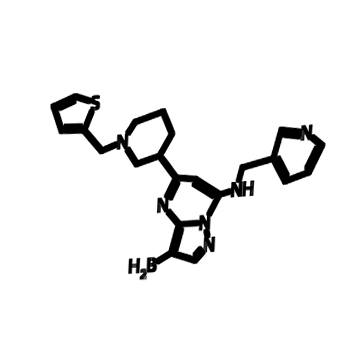 Bc1cnn2c(NCc3cccnc3)cc(C3CCCN(Cc4cccs4)C3)nc12